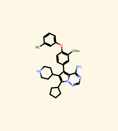 COc1cc(-c2c(C3CCNCC3)c(C3CCCC3)n3ncnc(N)c23)ccc1Oc1cccc(C#N)c1